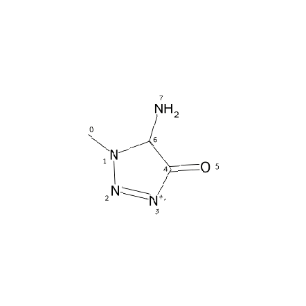 CN1N=[N+]C(=O)C1N